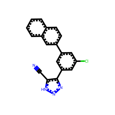 N#Cc1[nH]nnc1-c1cc(Cl)cc(-c2ccc3ccccc3c2)c1